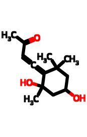 CC(=O)C=C=C1C(C)(C)CC(O)CC1(C)O